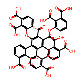 O=C(O)c1cccc(OC(=O)c2c(C(=O)O)c(Oc3cccc(C(=O)O)c3C(=O)O)c(-c3cccc(C(=O)O)c3C(=O)O)c(-c3cccc(C(=O)O)c3C(=O)O)c2-c2cccc(C(=O)O)c2C(=O)O)c1C(=O)O